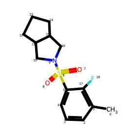 Cc1c[c]cc(S(=O)(=O)N2CC3CCCC3C2)c1F